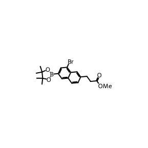 COC(=O)CCc1ccc2cc(B3OC(C)(C)C(C)(C)O3)cc(Br)c2c1